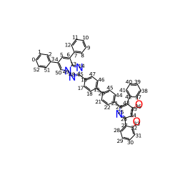 c1ccc(-c2cc(-c3ccccc3)c3nc(-c4ccc(-c5ccc(-c6nc7c8ccccc8oc7c7oc8ccccc8c67)cc5)cc4)nn3c2)cc1